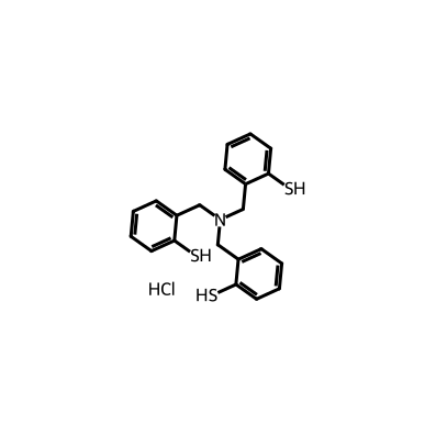 Cl.Sc1ccccc1CN(Cc1ccccc1S)Cc1ccccc1S